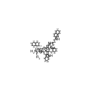 C[C@@H](N)C(=O)N[C@H](Cc1ccc2ccccc2c1)C(=O)N[C@@H](Cc1c[nH]c2ccccc12)C(=O)N[C@H](Cc1ccccc1)C(=O)N[C@@H](CCCCNc1ccc2ccccc2n1)C(N)=O